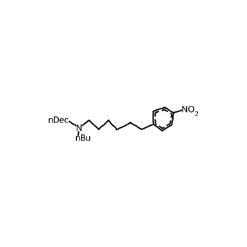 CCCCCCCCCCN(CCCC)CCCCCCc1ccc([N+](=O)[O-])cc1